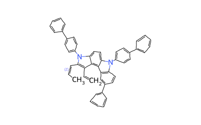 C=Cc1c(/C=C\C)n(-c2ccc(-c3ccccc3)cc2)c2ccc3c(c4cc(-c5ccccc5)ccc4n3-c3ccc(-c4ccccc4)cc3)c12